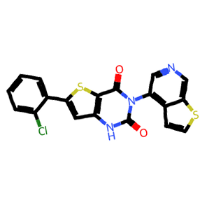 O=c1[nH]c2cc(-c3ccccc3Cl)sc2c(=O)n1-c1cncc2sccc12